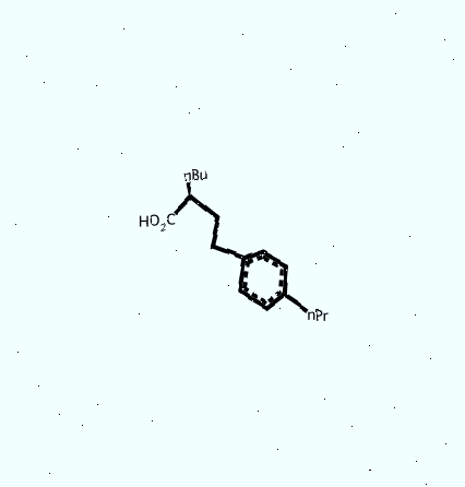 CCCC[C@@H](CCc1ccc(CCC)cc1)C(=O)O